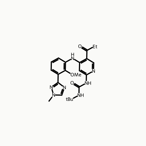 CCC(=O)c1cnc(NC(=O)NC(C)(C)C)cc1Nc1cccc(-c2ncn(C)n2)c1OC